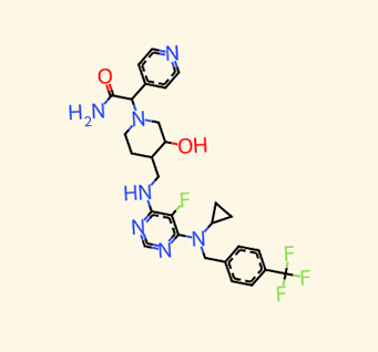 NC(=O)C(c1ccncc1)N1CCC(CNc2ncnc(N(Cc3ccc(C(F)(F)F)cc3)C3CC3)c2F)C(O)C1